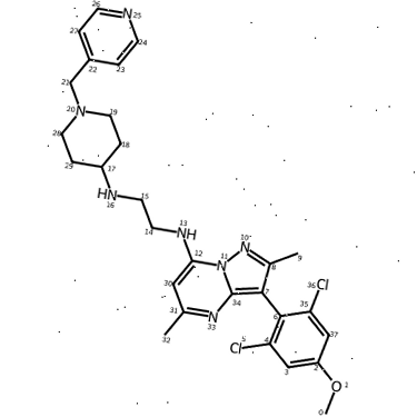 COc1cc(Cl)c(-c2c(C)nn3c(NCCNC4CCN(Cc5ccncc5)CC4)cc(C)nc23)c(Cl)c1